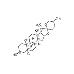 CC1CCC2(OC1)OC1C[C@H]3[C@@H]4CC[C@@H]5C[C@@H](O)CC[C@]5(C)[C@H]4CC[C@@]3(C)C1[C@@H]2C